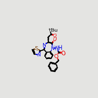 CC(C)(C)C(=O)CC1N=C(c2nccs2)c2ccccc2N(NC(=O)OCc2ccccc2)C1=O